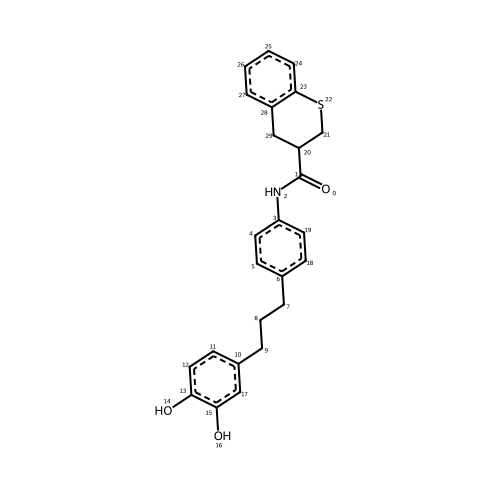 O=C(Nc1ccc(CCCc2ccc(O)c(O)c2)cc1)C1CSc2ccccc2C1